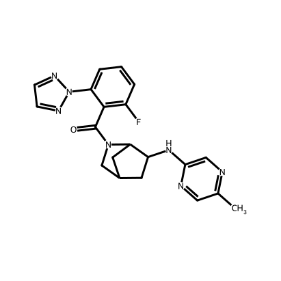 Cc1cnc(NC2CC3CC2N(C(=O)c2c(F)cccc2-n2nccn2)C3)cn1